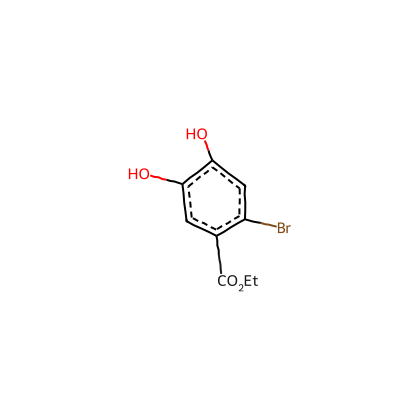 CCOC(=O)c1cc(O)c(O)cc1Br